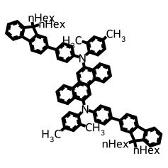 CCCCCCC1(CCCCCC)c2ccccc2-c2ccc(-c3ccc(N(c4ccc(C)cc4C)c4cc5c6ccccc6c(N(c6ccc(-c7ccc8c(c7)C(CCCCCC)(CCCCCC)c7ccccc7-8)cc6)c6ccc(C)cc6C)cc5c5ccccc45)cc3)cc21